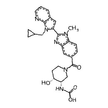 Cn1c(-c2cc3cccnc3n2CC2CC2)nc2cc(C(=O)N3CC[C@@H](O)[C@@H](NC(=O)O)C3)ccc21